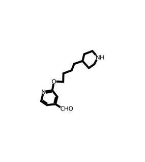 O=Cc1ccnc(OCCCCC2CCNCC2)c1